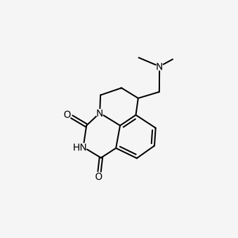 CN(C)CC1CCn2c(=O)[nH]c(=O)c3cccc1c32